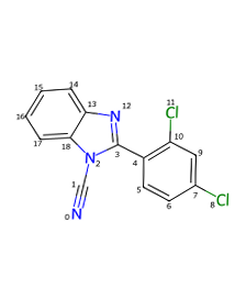 N#Cn1c(-c2ccc(Cl)cc2Cl)nc2ccccc21